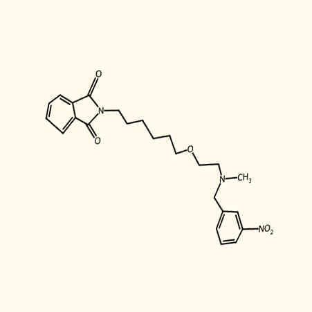 CN(CCOCCCCCCN1C(=O)c2ccccc2C1=O)Cc1cccc([N+](=O)[O-])c1